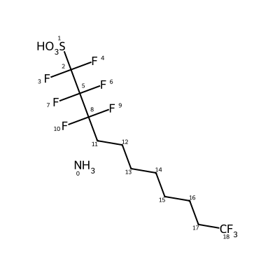 N.O=S(=O)(O)C(F)(F)C(F)(F)C(F)(F)CCCCCCCC(F)(F)F